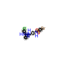 O=S(=O)(NC[C@H]1CC[C@H](CNc2nc(Nc3ccc(Cl)cc3)c3ccccc3n2)CC1)c1ccc(Br)cc1